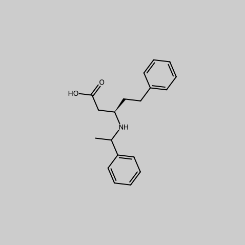 CC(N[C@H](CCc1ccccc1)CC(=O)O)c1ccccc1